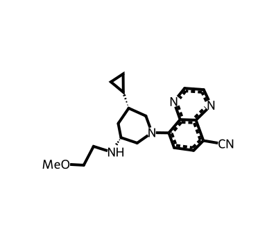 COCCN[C@@H]1C[C@H](C2CC2)CN(c2ccc(C#N)c3nccnc23)C1